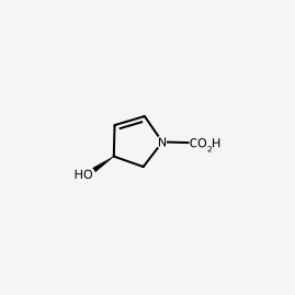 O=C(O)N1C=C[C@H](O)C1